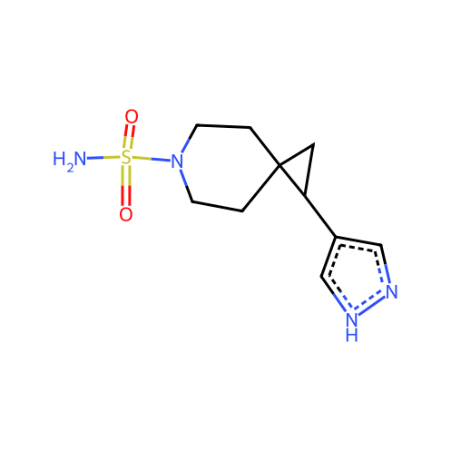 NS(=O)(=O)N1CCC2(CC1)CC2c1cn[nH]c1